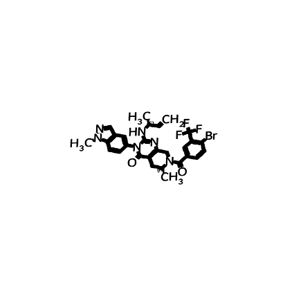 C=C[C@H](C)Nc1nc2c(c(=O)n1-c1ccc3c(cnn3C)c1)C[C@@H](C)N(C(=O)c1ccc(Br)c(C(F)(F)F)c1)C2